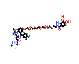 CCNC(=O)C[C@@H]1N=C(c2ccc(Cl)cc2)c2cc(OCCOCCOCCOCCOCCOCCNC(=O)c3ccc(O)c(O)c3)ccc2-n2c(C)nnc21